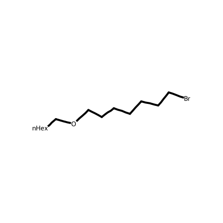 CCCCCCCOCCCCCCCBr